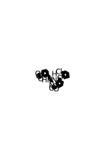 CS(=O)(=O)c1cccc(CNC2=NS(=O)(=O)c3cccc(Oc4ccccc4Cl)c3N2)c1